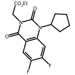 CCOC(=O)Cn1c(=O)c2cc(F)c(F)cc2n(C2CCCC2)c1=O